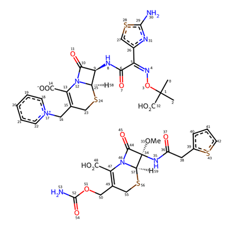 CC(C)(O/N=C(\C(=O)N[C@@H]1C(=O)N2C(C(=O)[O-])=C(C[n+]3ccccc3)CS[C@H]12)c1csc(N)n1)C(=O)O.CO[C@@]1(NC(=O)Cc2cccs2)C(=O)N2C(C(=O)O)=C(COC(N)=O)CS[C@@H]21